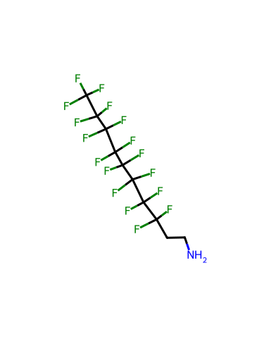 NCCC(F)(F)C(F)(F)C(F)(F)C(F)(F)C(F)(F)C(F)(F)C(F)(F)C(F)(F)F